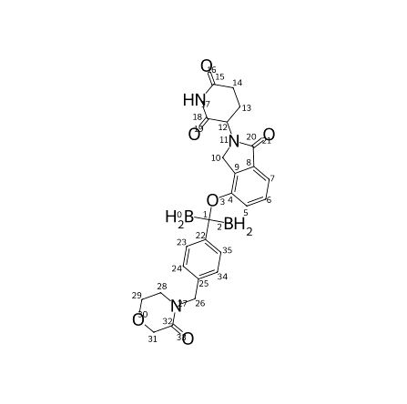 BC(B)(Oc1cccc2c1CN(C1CCC(=O)NC1=O)C2=O)c1ccc(CN2CCOCC2=O)cc1